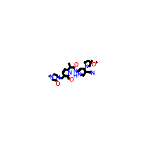 COC1(C)CCN(c2cc(NC(=O)C(C)c3ccc(CN4CCN(C)CC4=O)c(C=O)n3)ncc2C#N)C1